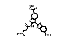 CC(C)N(C)CCC(=O)Nc1sc2c(c1-c1nc3cc(C(=O)O)ccc3s1)CCN(C(=O)OC(C)(C)C)C2